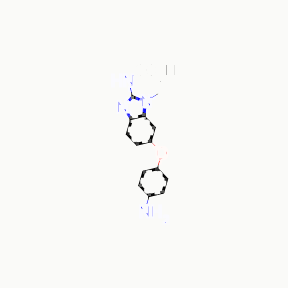 Cn1c(NC(=O)O)nc2ccc(Oc3ccc(N)cc3)cc21